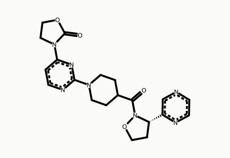 O=C1OCCN1c1ccnc(N2CCC(C(=O)N3OCC[C@H]3c3cnccn3)CC2)n1